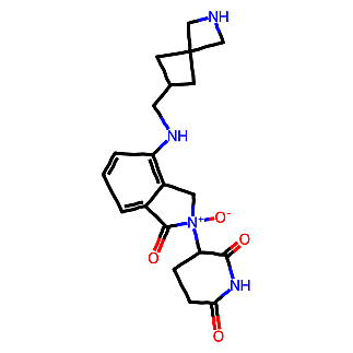 O=C1CCC([N+]2([O-])Cc3c(NCC4CC5(CNC5)C4)cccc3C2=O)C(=O)N1